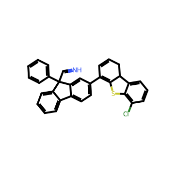 N=CC1(c2ccccc2)c2ccccc2-c2ccc(C3=C4Sc5c(Cl)cccc5C4CC=C3)cc21